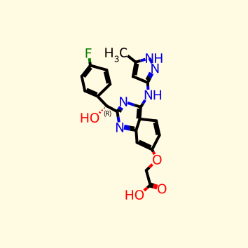 Cc1cc(Nc2nc([C@H](O)c3ccc(F)cc3)nc3cc(OCC(=O)O)ccc23)n[nH]1